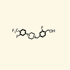 OCc1ccc(CN2CCN(c3ccc(C(F)(F)F)c(F)c3)CC2)cc1F